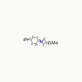 COC1CN(C2CCC(C(C)C)CC2)C1